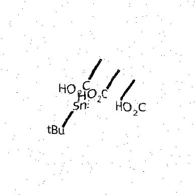 CC(=O)O.CC(=O)O.CC(=O)O.C[C](C)(C)[Sn]